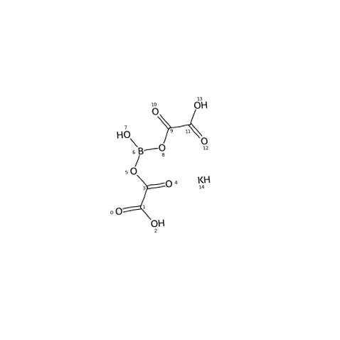 O=C(O)C(=O)OB(O)OC(=O)C(=O)O.[KH]